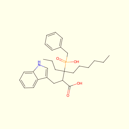 CCCCCCC(CCC)(C(Cc1c[nH]c2ccccc12)C(=O)O)P(=O)(O)Cc1ccccc1